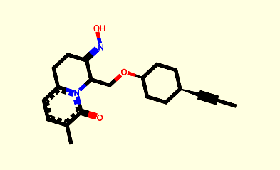 CC#C[C@H]1CC[C@@H](OCC2C(=NO)CCc3ccc(C)c(=O)n32)CC1